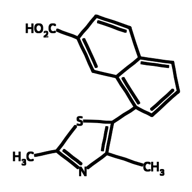 Cc1nc(C)c(-c2cccc3ccc(C(=O)O)cc23)s1